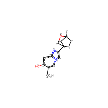 CC12CCC(c3cn4cc(C(=O)O)c(O)cc4n3)(CO1)C2